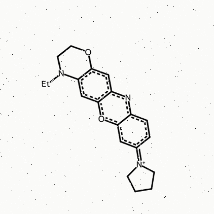 CCN1CCOc2cc3nc4ccc(=[N+]5CCCC5)cc-4oc3cc21